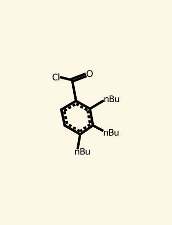 CCCCc1ccc(C(=O)Cl)c(CCCC)c1CCCC